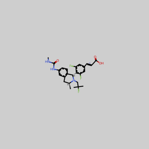 CNC(=O)Nc1ccc2c(c1)C[C@H](C)N(CC(C)(C)F)[C@H]2c1c(F)cc(/C=C/C(=O)O)cc1F